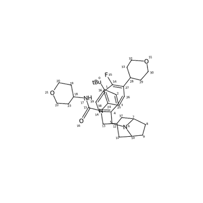 CC(C)(C)c1ccc(CN2C3CCC2CC(CN(C(=O)NC2CCOCC2)c2ccc(C4CCOCC4)c(F)c2)C3)cc1